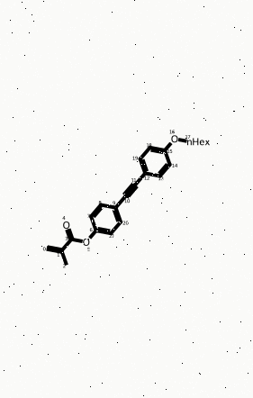 C=C(C)C(=O)Oc1ccc(C#Cc2ccc(OCCCCCC)cc2)cc1